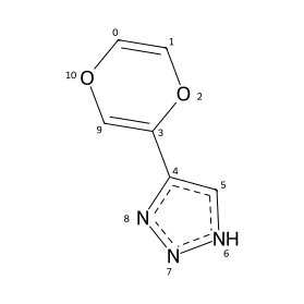 C1=COC(c2c[nH]nn2)=CO1